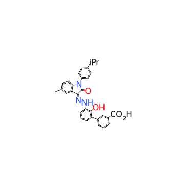 Cc1ccc2c(c1)/C(=N/Nc1cccc(-c3cccc(C(=O)O)c3)c1O)C(=O)N2c1ccc(C(C)C)cc1